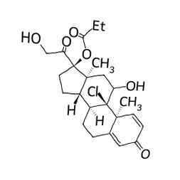 CCC(=O)O[C@]1(C(=O)CO)CC[C@H]2[C@@H]3CCC4=CC(=O)C=C[C@]4(C)[C@@]3(Cl)C(O)C[C@@]21C